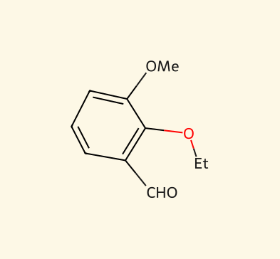 CCOc1c(C=O)cccc1OC